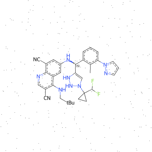 Cc1c([C@H](Nc2cc(C#N)c3ncc(C#N)c(NCC(C)(C)C)c3c2)C2=CN(C3(C(F)F)CC3)NN2)cccc1-n1cccn1